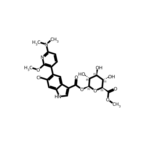 COC(=O)[C@H]1O[C@@H](OC(=O)c2c[nH]c3cc(Cl)c(-c4ccc(N(C)C)nc4OC)cc23)[C@H](O)[C@@H](O)[C@@H]1O